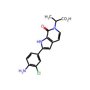 CC(C(=O)O)n1ccc2cc(-c3ccc(N)c(Cl)c3)[nH]c2c1=O